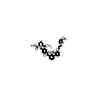 COc1cc(CCc2cccc(-c3cccc(OCCCN4CC[C@@H](OI)C4)c3C)c2C)c(Cl)cc1CN1CCCC[C@H]1C(=O)O